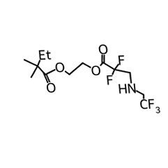 CCC(C)(C)C(=O)OCCOC(=O)C(F)(F)CNCC(F)(F)F